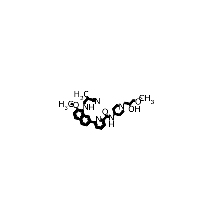 C=C(C#N)CNc1c(OC)ccc2ccc(-c3cccc(C(=O)NC4CCN(CC(O)COC)CC4)n3)cc12